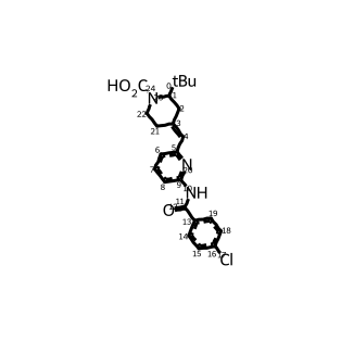 CC(C)(C)C1CC(=Cc2cccc(NC(=O)c3ccc(Cl)cc3)n2)CCN1C(=O)O